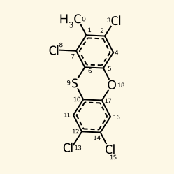 Cc1c(Cl)cc2c(c1Cl)Sc1cc(Cl)c(Cl)cc1O2